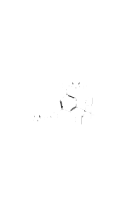 COc1cc(OC)cc(C(F)(Cl)Cl)c1